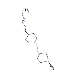 CC/C=C/CC[C@H]1CC[C@H](CC[C@H]2CC[C@H](C#N)CC2)CC1